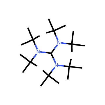 CC(C)(C)N([C](N(C(C)(C)C)C(C)(C)C)N(C(C)(C)C)C(C)(C)C)C(C)(C)C